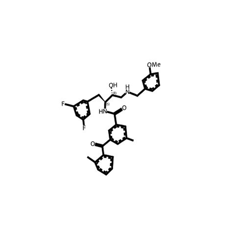 COc1cccc(CNC[C@@H](O)[C@H](Cc2cc(F)cc(F)c2)NC(=O)c2cc(C)cc(C(=O)c3ccccc3C)c2)c1